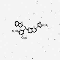 COc1cc(OC)cc(N(Cc2nc3ccccc3[nH]2)c2ccc3ncc(-c4cnn(C)c4)nc3n2)c1